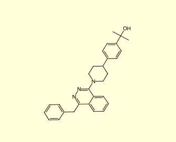 CC(C)(O)c1ccc(C2CCN(c3nnc(Cc4ccccc4)c4ccccc34)CC2)cc1